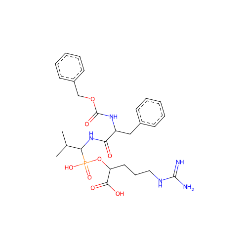 CC(C)C(NC(=O)C(Cc1ccccc1)NC(=O)OCc1ccccc1)P(=O)(O)OC(CCCNC(=N)N)C(=O)O